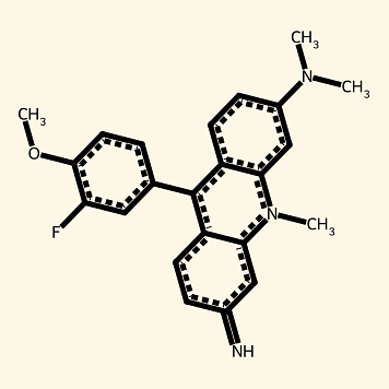 COc1ccc(-c2c3ccc(=N)cc-3n(C)c3cc(N(C)C)ccc23)cc1F